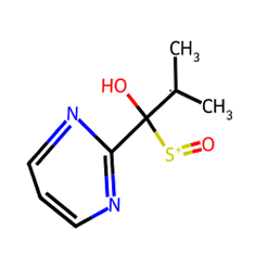 C[C](C)C(O)([S+]=O)c1ncccn1